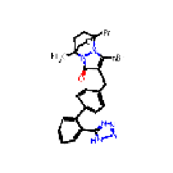 CCCCc1c(Cc2ccc(-c3ccccc3-c3nnn[nH]3)cc2)c(=O)n2n1C1(C(C)C)CCC2(C)CC1